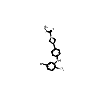 CC(C)(C)OC(=O)N1CC(c2ccc(Nc3cc(Br)ccc3[N+](=O)[O-])cc2)C1